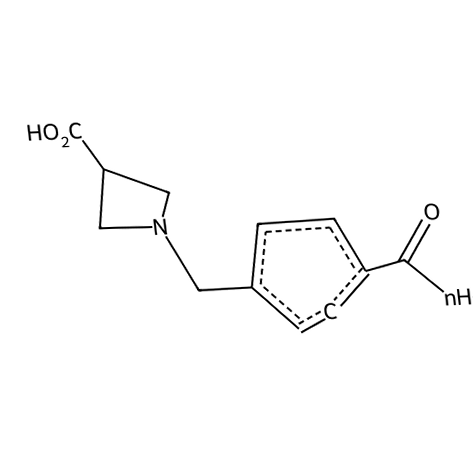 CCCCCCC(=O)c1ccc(CN2CC(C(=O)O)C2)cc1